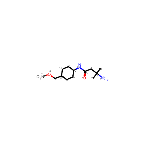 CC(C)(N)CC(=O)NC1CCC(CO[N+](=O)[O-])CC1